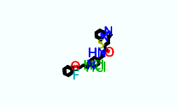 Cl.Cl.O=C(NCC1CCN(CCCOc2ccccc2F)CC1)C1=Cc2cnc3cccc(n23)S1